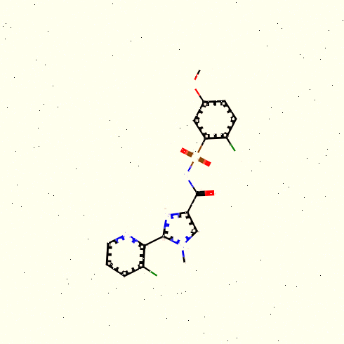 COc1ccc(Cl)c(S(=O)(=O)NC(=O)c2cn(C)c(-c3ncccc3Cl)n2)c1